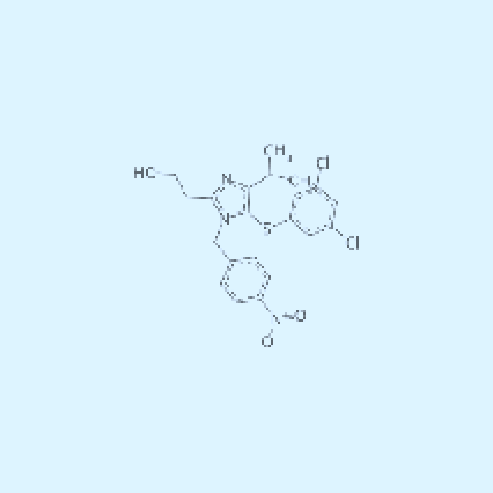 CC(C)c1nc(CCO)n(Cc2ccc([N+](=O)[O-])cc2)c1Sc1cc(Cl)cc(Cl)c1